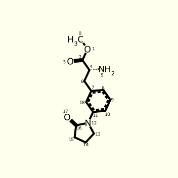 COC(=O)[C@H](N)Cc1cccc(N2CCCC2=O)c1